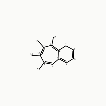 CC1=CC2=CC=CCC2=C(C)C(C)=C1C